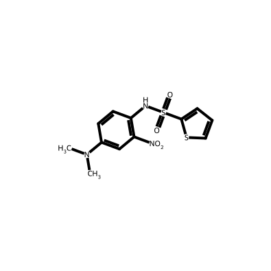 CN(C)c1ccc(NS(=O)(=O)c2cccs2)c([N+](=O)[O-])c1